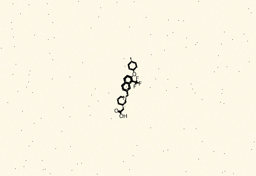 C[C@H]1CC[C@@H](Oc2ccc3ccc(CN4CCC[C@H](CC(=O)O)C4)cc3c2C(F)(F)F)CC1